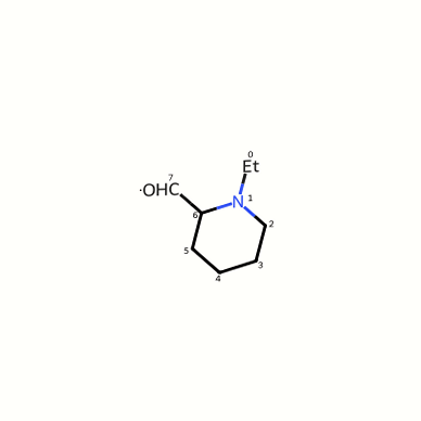 CCN1CCCCC1[C]=O